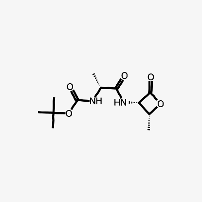 C[C@@H](NC(=O)OC(C)(C)C)C(=O)N[C@@H]1C(=O)O[C@@H]1C